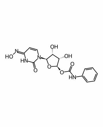 O=C(Nc1ccccc1)O[C@H]1O[C@@H](n2cc/c(=N/O)[nH]c2=O)[C@H](O)[C@@H]1O